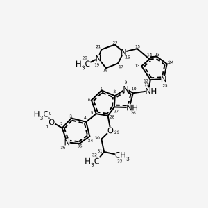 COc1cc(-c2ccc3nc(Nc4cc(CN5CCN(C)CC5)ccn4)[nH]c3c2OCC(C)C)ccn1